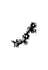 Cc1ncc(CNC(=O)c2ccc(CNS(=O)(=O)c3ccsc3)cn2)s1